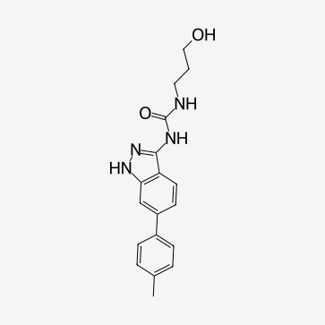 Cc1ccc(-c2ccc3c(NC(=O)NCCCO)n[nH]c3c2)cc1